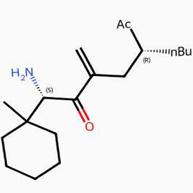 C=C(C[C@@H](CCCC)C(C)=O)C(=O)[C@@H](N)C1(C)CCCCC1